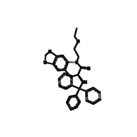 CCOCCN1C(=O)[C@@H](NC(c2ccccc2)(c2ccccc2)c2ccccc2)Cc2cc3c(cc21)OCO3